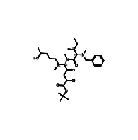 CC[C@H](C)[C@@H](C(=O)N(C)[C@H](C(=O)CC(O)C(=O)OC(C)(C)C)[C@@H](C)CCCC(C)O)N(C)Cc1ccccc1